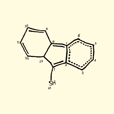 SC1=c2ccccc2=C2C=CC=CC12